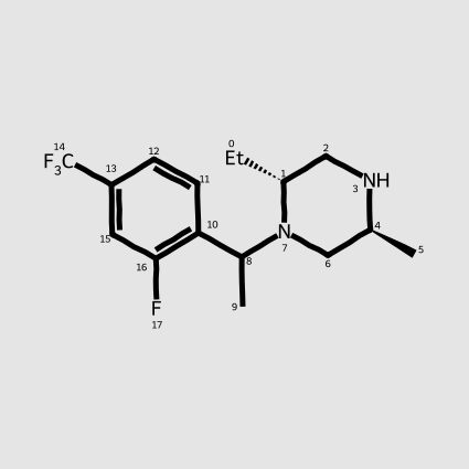 CC[C@@H]1CN[C@@H](C)CN1C(C)c1ccc(C(F)(F)F)cc1F